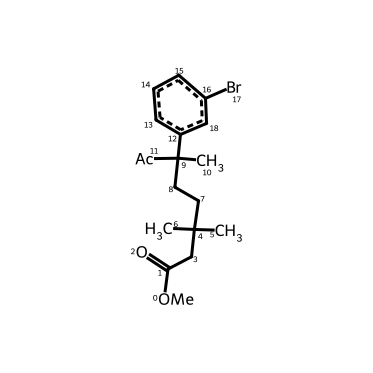 COC(=O)CC(C)(C)CCC(C)(C(C)=O)c1cccc(Br)c1